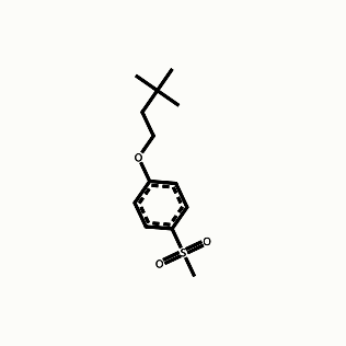 CC(C)(C)CCOc1ccc(S(C)(=O)=O)cc1